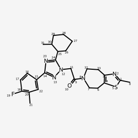 Cc1nc2c(s1)CCN(C(=O)Cn1nc(-c3ccc(F)c(C)c3)nc1C1CCCCC1C)CC2